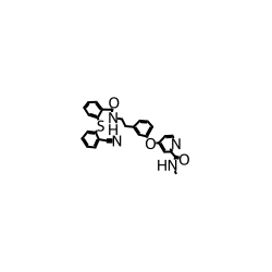 CNC(=O)c1cc(Oc2cccc(CCNC(=O)c3ccccc3Sc3ccccc3C#N)c2)ccn1